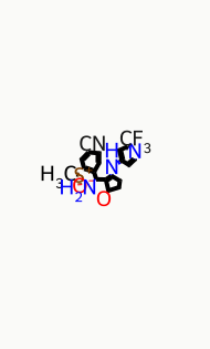 C[S+]([O-])c1cc(C#N)ccc1C(N)C1=C(Nc2ccnc(C(F)(F)F)c2)CCC1=O